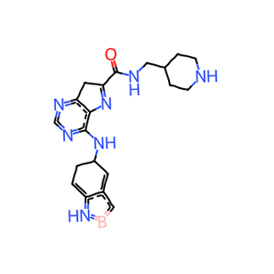 O=C(NCC1CCNCC1)C1=Nc2c(ncnc2NC2C=c3cb[nH]c3=CC2)C1